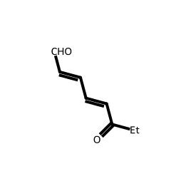 CCC(=O)C=CC=CC=O